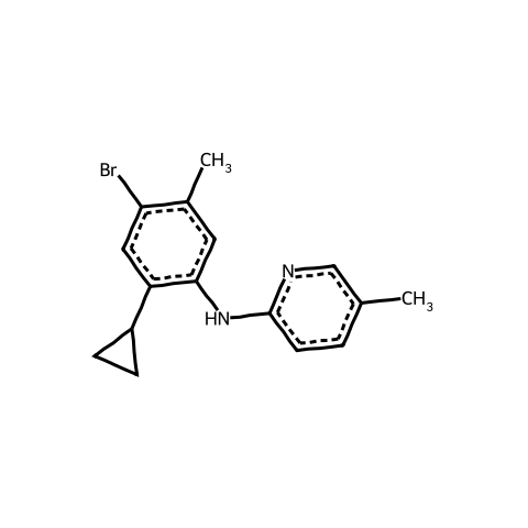 Cc1ccc(Nc2cc(C)c(Br)cc2C2CC2)nc1